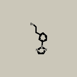 BrCCc1cccc(-n2nccn2)c1